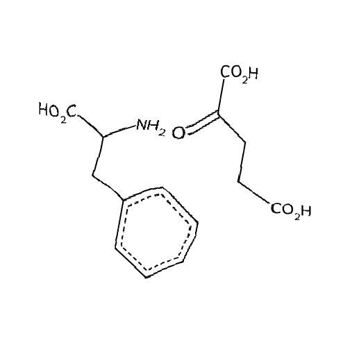 NC(Cc1ccccc1)C(=O)O.O=C(O)CCC(=O)C(=O)O